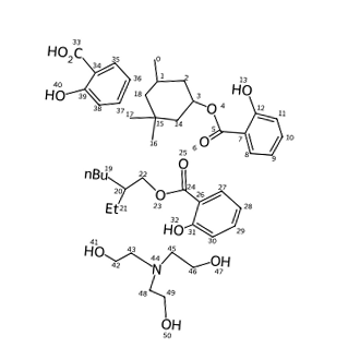 CC1CC(OC(=O)c2ccccc2O)CC(C)(C)C1.CCCCC(CC)COC(=O)c1ccccc1O.O=C(O)c1ccccc1O.OCCN(CCO)CCO